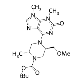 COC[C@H]1CN(C(=O)OC(C)(C)C)[C@H](C)CN1c1nc(=O)n(C)c2c1ncn2C